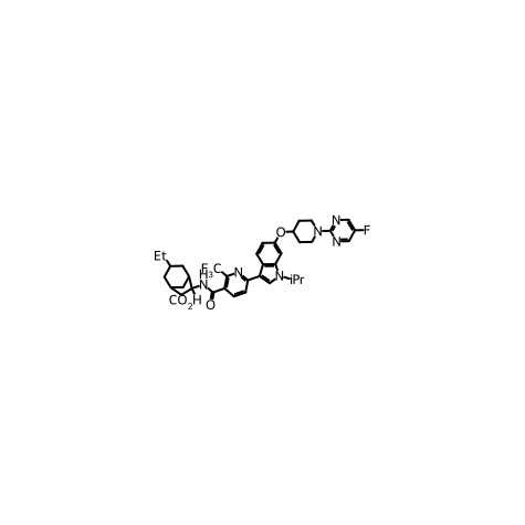 CCC1CC2CC(C1)C(NC(=O)c1ccc(-c3cn(C(C)C)c4cc(OC5CCN(c6ncc(F)cn6)CC5)ccc34)nc1C(F)(F)F)(C(=O)O)C2